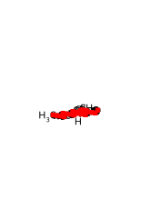 CCCCc1ccc(COc2ccc(C(=O)N[C@@H](Cc3ccc(OCc4ccccc4)cc3)C(=O)OC)cc2)cc1